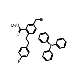 COC(=O)c1cc(CBr)ccc1CCc1ccc(F)cc1.c1ccc(P(c2ccccc2)c2ccccc2)cc1